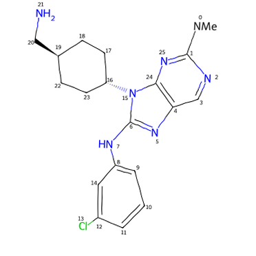 CNc1ncc2nc(Nc3cccc(Cl)c3)n([C@H]3CC[C@H](CN)CC3)c2n1